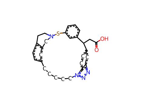 O=C(O)CC1c2cccc(c2)SN2CCc3ccc(cc3C2)CCCCCn2nnc3cc1ccc32